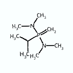 C=P(C(C)C)(N(C)C)N(C)C